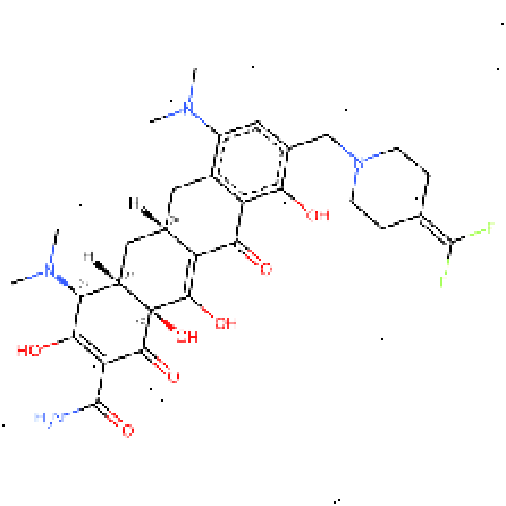 CN(C)c1cc(CN2CCC(=C(F)F)CC2)c(O)c2c1C[C@H]1C[C@H]3[C@H](N(C)C)C(O)=C(C(N)=O)C(=O)[C@@]3(O)C(O)=C1C2=O